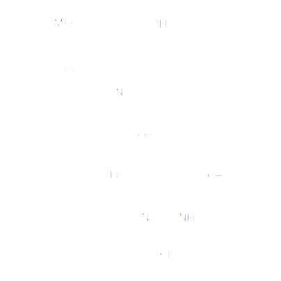 COc1cc(C)c2cc(COc3cc(C)c4[nH]c(C)nc4c3C(C)C)[nH]c2c1C(C)C